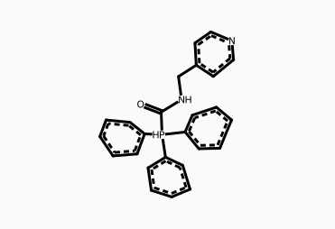 O=C(NCc1ccncc1)[PH](c1ccccc1)(c1ccccc1)c1ccccc1